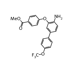 COC(=O)c1ccc(Oc2cc(-c3ccc(OC(F)(F)F)cc3)ccc2N)cc1